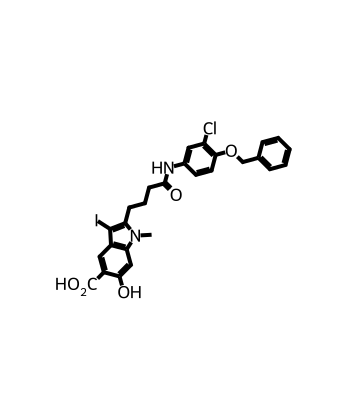 Cn1c(CCCC(=O)Nc2ccc(OCc3ccccc3)c(Cl)c2)c(I)c2cc(C(=O)O)c(O)cc21